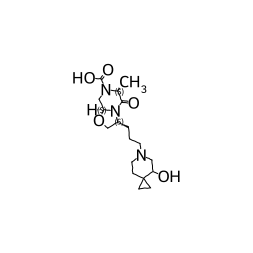 C[C@H]1C(=O)N2[C@@H](CCCN3CCC4(CC4)C(O)C3)CO[C@H]2CN1C(=O)O